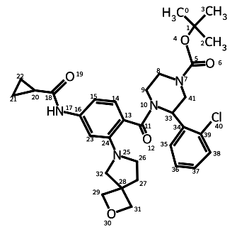 CC(C)(C)OC(=O)N1CCN(C(=O)c2ccc(NC(=O)C3CC3)cc2N2CCC3(COC3)C2)C(c2ccccc2Cl)C1